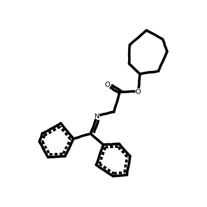 O=C(CN=C(c1ccccc1)c1ccccc1)OC1CCCCCC1